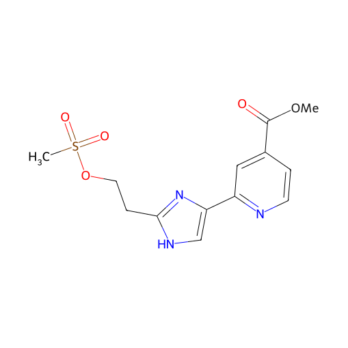 COC(=O)c1ccnc(-c2c[nH]c(CCOS(C)(=O)=O)n2)c1